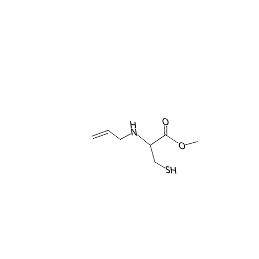 C=CCNC(CS)C(=O)OC